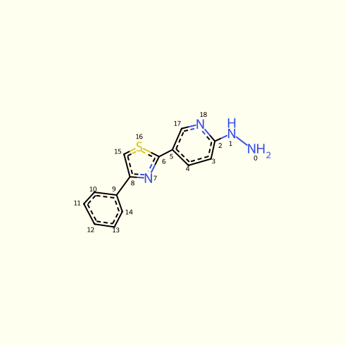 NNc1ccc(-c2nc(-c3ccccc3)cs2)cn1